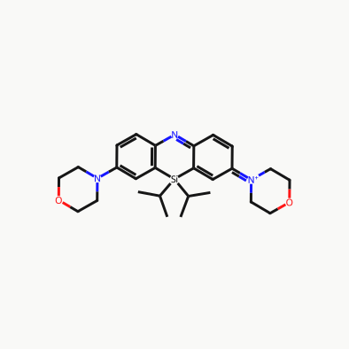 CC(C)[Si]1(C(C)C)C2=CC(=[N+]3CCOCC3)C=CC2=Nc2ccc(N3CCOCC3)cc21